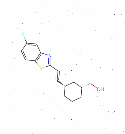 OC[C@@H]1CCC[C@@H](C=Cc2nc3cc(F)ccc3s2)C1